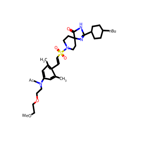 CCCCC1CCC(C2=NC3(CCN(S(=O)(=O)/C=C/c4c(C)cc(N(CCOCCOC)C(C)=O)cc4C)CC3)C(=O)N2)CC1